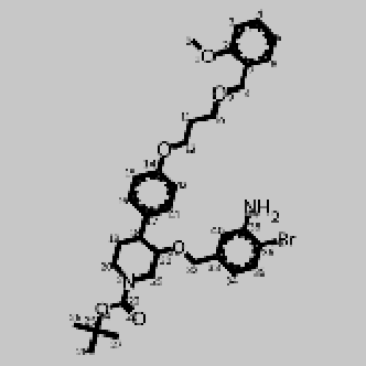 COc1ccccc1COCCCOc1ccc(C2CCN(C(=O)OC(C)(C)C)CC2OCc2ccc(Br)c(N)c2)cc1